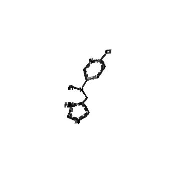 CC(C)N(Cc1cnc[nH]1)c1ccc(Cl)nc1